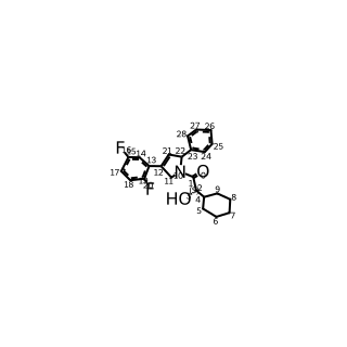 O=C([C@@H](O)C1CCCCC1)N1CC(c2cc(F)ccc2F)=CC1c1ccccc1